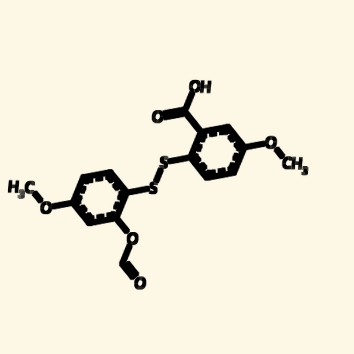 COc1ccc(SSc2ccc(OC)cc2C(=O)O)c(OC=O)c1